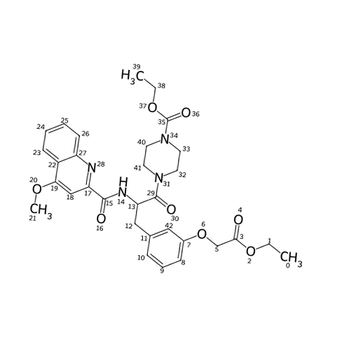 CCOC(=O)COc1cccc(CC(NC(=O)c2cc(OC)c3ccccc3n2)C(=O)N2CCN(C(=O)OCC)CC2)c1